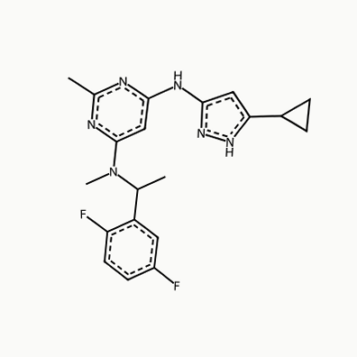 Cc1nc(Nc2cc(C3CC3)[nH]n2)cc(N(C)C(C)c2cc(F)ccc2F)n1